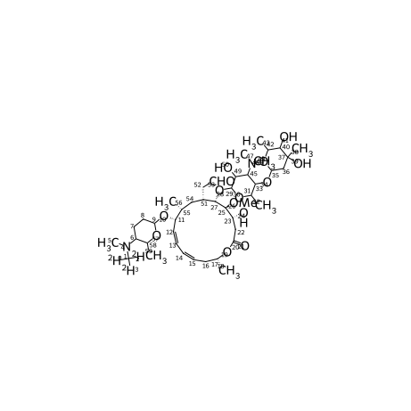 [2H]C([2H])([2H])N(C)C1CCC(O[C@H]2C=CC=CC[C@@H](C)OC(=O)C[C@@H](O)[C@H](OC)[C@@H](OC3OC(C)C(OC4CC(C)(O)C(O)C(C)O4)C(N(C)C)C3O)[C@@H](CC=O)C[C@H]2C)OC1C